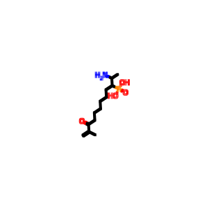 C=C(C)C(=O)CCCCCCC(C(C)N)P(=O)(O)O